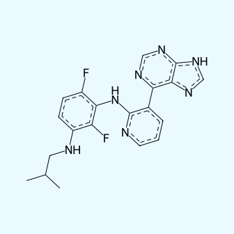 CC(C)CNc1ccc(F)c(Nc2ncccc2-c2ncnc3[nH]cnc23)c1F